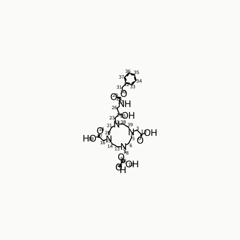 O=C(O)CN1CCN(CO[PH](=O)O)CCN(CC(=O)O)CCN(CC(O)CNC(=O)OCc2ccccc2)CC1